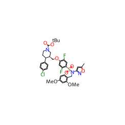 COc1ccc(CN(c2cc(C)on2)S(=O)(=O)c2cc(F)c(OC[C@@H]3CN(C(=O)OC(C)(C)C)CCC3c3ccc(Cl)cc3)cc2F)c(OC)c1